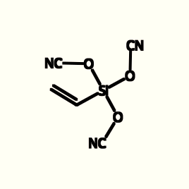 C=C[Si](OC#N)(OC#N)OC#N